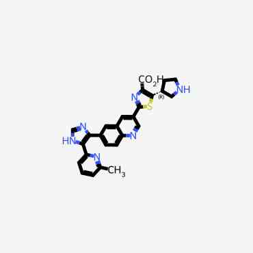 Cc1cccc(-c2[nH]cnc2-c2ccc3ncc(-c4nc(C(=O)O)c([C@@H]5CCNC5)s4)cc3c2)n1